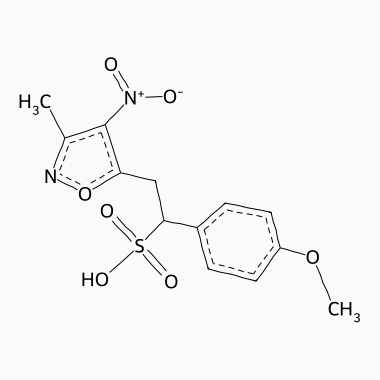 COc1ccc(C(Cc2onc(C)c2[N+](=O)[O-])S(=O)(=O)O)cc1